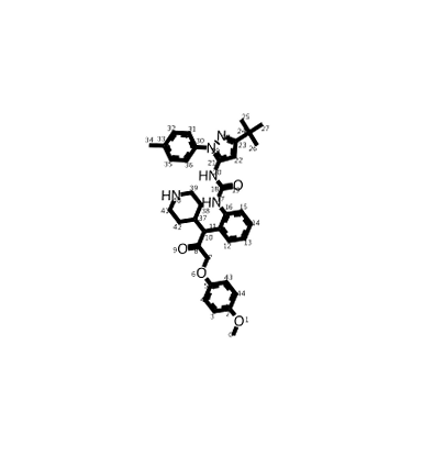 COc1ccc(OCC(=O)C(c2ccccc2NC(=O)Nc2cc(C(C)(C)C)nn2-c2ccc(C)cc2)C2CCNCC2)cc1